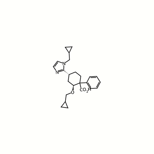 O=C(O)C1(c2ccccc2)CC[C@@H](c2nccn2CC2CC2)C[C@@H]1OCC1CC1